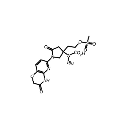 CC(C)(C)N(C(=O)O)C1(CCOS(C)(=O)=O)CC(=O)N(c2ccc3c(n2)NC(=O)CO3)C1